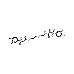 Cc1ccc(S(=O)(=O)NC(=O)NCCCCCCNC(=O)NS(=O)(=O)c2ccc(C)c(C)c2)cc1C